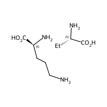 CC[C@H](N)C(=O)O.NCCC[C@H](N)C(=O)O